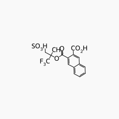 CC(CS(=O)(=O)O)(OC(=O)c1cc2ccccc2cc1C(=O)O)C(F)(F)F